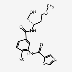 CCc1ccc(C(=O)N[C@H](CO)CCOC(F)(F)F)cc1NC(=O)c1cncs1